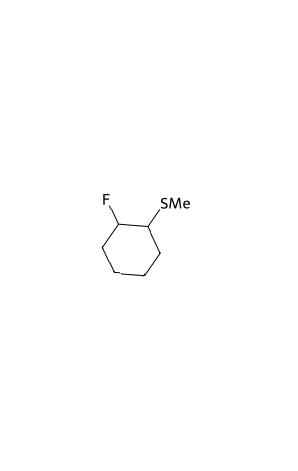 CSC1CCCCC1F